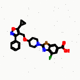 O=C(O)c1cc(F)c2nc(N3CCC(OCc4c(-c5ccccc5)noc4C4CC4)CC3)sc2c1